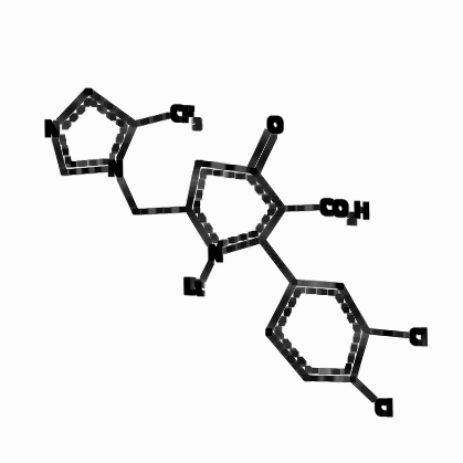 CCn1c(Cn2cncc2C(F)(F)F)cc(=O)c(C(=O)O)c1-c1ccc(Cl)c(Cl)c1